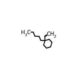 C=CC1(CCCCC)CCCCC1